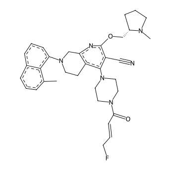 Cc1cccc2cccc(N3CCc4c(nc(OC[C@@H]5CCCN5C)c(C#N)c4N4CCN(C(=O)/C=C/CF)CC4)C3)c12